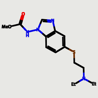 CCN(CC)CCSc1ccc2c(c1)ncn2NC(=O)OC